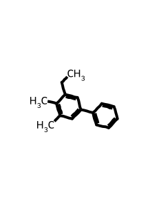 CCc1cc(-c2ccccc2)cc(C)c1C